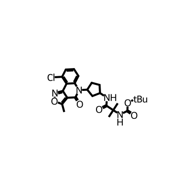 Cc1onc2c1c(=O)n(C1CCC(NC(=O)C(C)(C)NC(=O)OC(C)(C)C)C1)c1cccc(Cl)c21